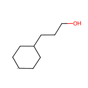 OCCCC1CC[CH]CC1